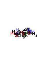 CC(=O)Nc1cc(-c2ccc(OCC(C)CC(C)NC(=O)O)c(OC(F)(F)F)c2)ccn1